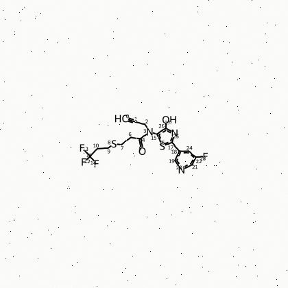 C#CCN(C(=O)CCSCCC(F)(F)F)c1sc(-c2cncc(F)c2)nc1O